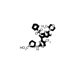 C[C@H]1COCCN1c1nc2c(cc1F)c(-c1nc(N[C@H]3CCCN(C(=O)O)C3)ncc1C(F)(F)F)cn2S(=O)(=O)c1ccccc1